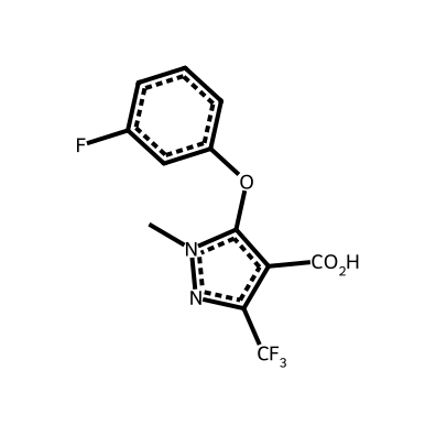 Cn1nc(C(F)(F)F)c(C(=O)O)c1Oc1cccc(F)c1